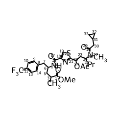 COC(=O)C(C)CC(Cc1ccc(C(F)(F)F)cc1)NC(=O)c1csc(C(CC(C(C)C)N(C)C(=O)CC2CC2)OC(C)=O)n1